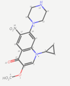 O=C(O)Oc1cn(C2CC2)c2cc(N3CCNCC3)c([N+](=O)[O-])cc2c1=O